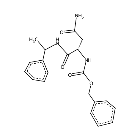 CC(NC(=O)[C@H](CC(N)=O)NC(=O)OCc1ccccc1)c1ccccc1